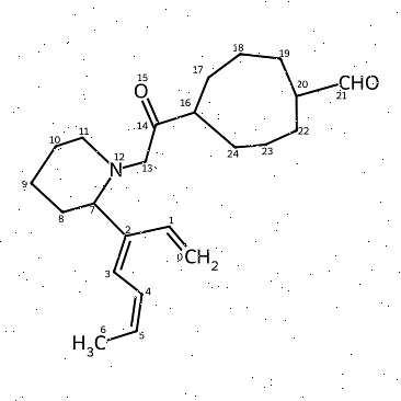 C=C/C(=C\C=C/C)C1CCCCN1CC(=O)C1CCCC(C=O)CCC1